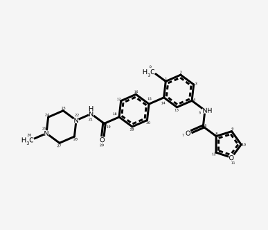 Cc1ccc(NC(=O)c2ccoc2)cc1-c1ccc(C(=O)NN2CCN(C)CC2)cc1